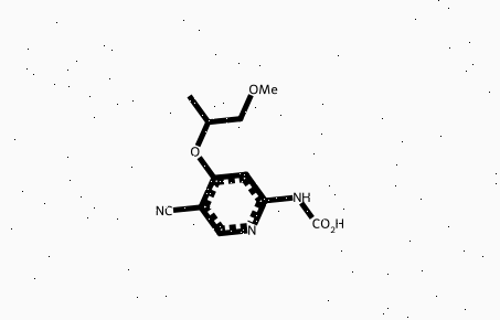 COCC(C)Oc1cc(NC(=O)O)ncc1C#N